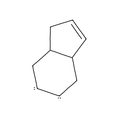 [C]1[C]CC2CC=CC2C1